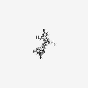 Cc1cc(F)ccc1-c1cc(C)n(C2CC3(C2)CN(C(=O)c2ccc(F)cc2OCF)C3)n1